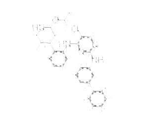 CC(C)OC1CC(c2ccccc2Nc2nc(Nc3cccc(-c4ccccc4)c3)ncc2Cl)C(C)CN1